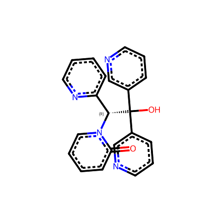 O=c1ccccn1[C@H](c1ccccn1)C(O)(c1cccnc1)c1cccnc1